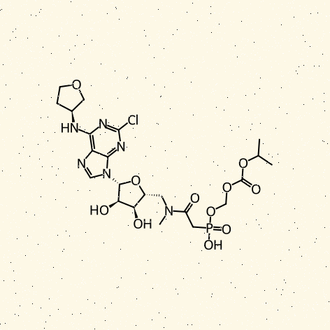 CC(C)OC(=O)OCOP(=O)(O)CC(=O)N(C)C[C@H]1O[C@@H](n2cnc3c(N[C@H]4CCOC4)nc(Cl)nc32)[C@H](O)[C@@H]1O